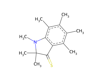 Cc1c(C)c(C)c2c(c1C)C(=S)C(C)(C)N2C